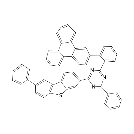 c1ccc(-c2ccc3sc4cc(-c5nc(-c6ccccc6)nc(-c6ccccc6-c6ccc7c8ccccc8c8ccccc8c7c6)n5)ccc4c3c2)cc1